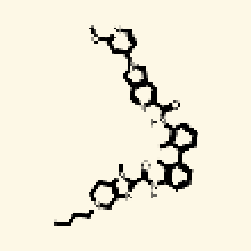 CCCCN1CCc2c(nc(C(=O)Nc3cccc(-c4cccc(NC(=O)c5cc6c(cn5)CN(c5ccnc(OC)c5)C6)c4C)c3C)n2C)C1